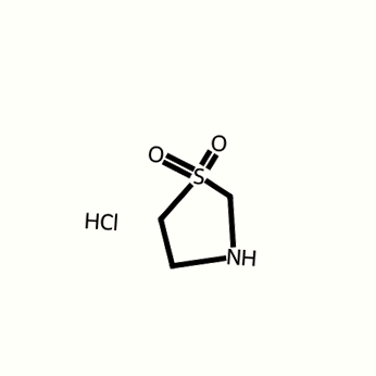 Cl.O=S1(=O)CCNC1